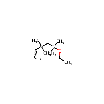 C=C[Si](C)(C)C[Si](C)(C)OCC